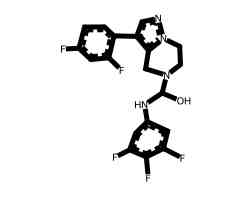 OC(Nc1cc(F)c(F)c(F)c1)N1CCn2ncc(-c3ccc(F)cc3F)c2C1